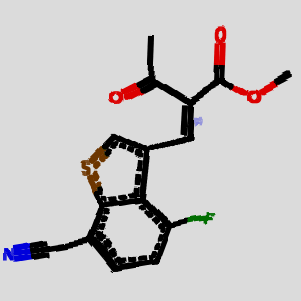 COC(=O)/C(=C/c1csc2c(C#N)ccc(F)c12)C(C)=O